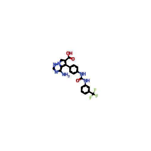 Nc1ncnn2cc(C(=O)O)c(-c3ccc(NC(=O)Nc4cccc(C(F)(F)F)c4)cc3)c12